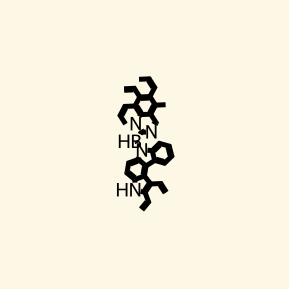 C=Cc1[nH]c2ccc3c(c4ccccc4n3Bc3ncc4c(C)c(/C=C\C)c(C=C)c(/C=C\C)c4n3)c2c1C=C